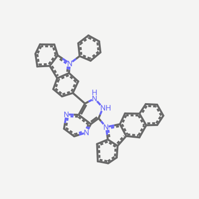 c1ccc(-n2c3ccccc3c3ccc(C4=c5nccnc5=C(n5c6ccccc6c6cc7ccccc7cc65)NN4)cc32)cc1